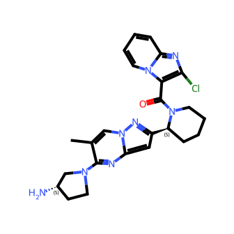 Cc1cn2nc([C@@H]3CCCCN3C(=O)c3c(Cl)nc4ccccn34)cc2nc1N1CC[C@H](N)C1